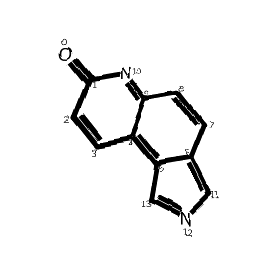 O=C1C=Cc2c3c(ccc2=N1)=CN=C3